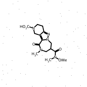 CON(C)C(=O)C1CN(C)C(=O)c2c3c(nn2C1)CCN(C(=O)O)C3